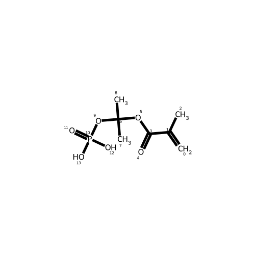 C=C(C)C(=O)OC(C)(C)OP(=O)(O)O